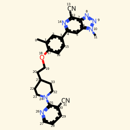 Cc1cc(-c2cc3c(nnn3C)c(C#N)n2)ccc1OCCC1CCN(c2ncccc2C#N)CC1